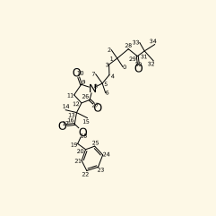 CC(C)(CCC(C)(C)N1C(=O)CC(C(C)(C)C(=O)OCc2ccccc2)C1=O)CC(=O)C(C)(C)C